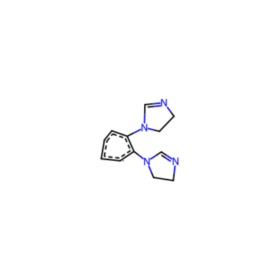 [c]1cccc(N2C=NCC2)c1N1C=NCC1